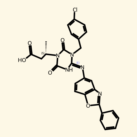 C[C@@H](CC(=O)O)n1c(=O)[nH]/c(=N\c2ccc3oc(-c4ccccc4)nc3c2)n(Cc2ccc(Cl)cc2)c1=O